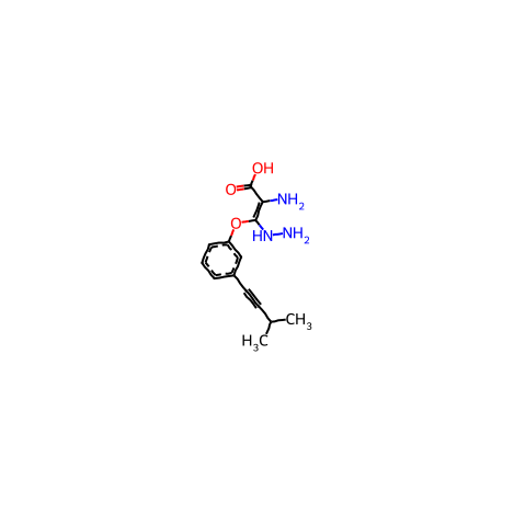 CC(C)C#Cc1cccc(O/C(NN)=C(/N)C(=O)O)c1